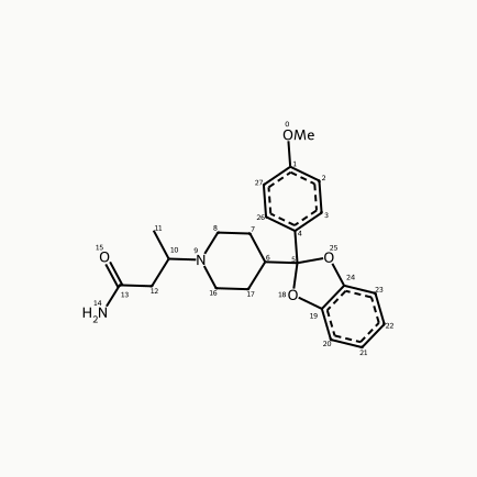 COc1ccc(C2(C3CCN(C(C)CC(N)=O)CC3)Oc3ccccc3O2)cc1